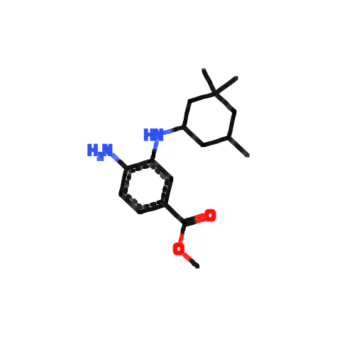 COC(=O)c1ccc(N)c(NC2CC(C)CC(C)(C)C2)c1